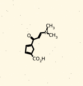 CN(C)/C=C/C(=O)C1=CC=C(C(=O)O)C1